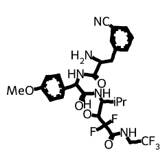 COc1ccc(C(NC(=O)C(N)Cc2cccc(C#N)c2)C(=O)NC(C(C)C)C(O)C(F)(F)C(=O)NCC(F)(F)F)cc1